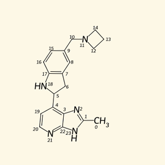 Cc1nc2c(C3Cc4cc(CN5CCC5)ccc4N3)ccnc2[nH]1